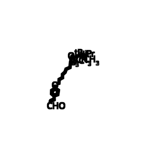 CC(C)C(C)(C)CC(C)(C(=O)OCCCCCCCCOc1ccc(/C=C/C=O)cc1)C(C)(C)C